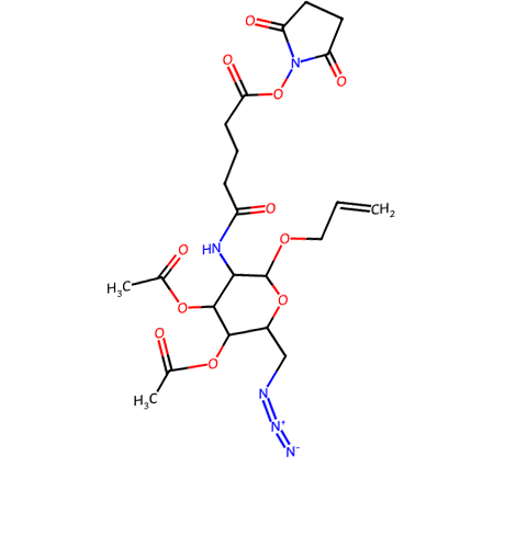 C=CCOC1OC(CN=[N+]=[N-])C(OC(C)=O)C(OC(C)=O)C1NC(=O)CCCC(=O)ON1C(=O)CCC1=O